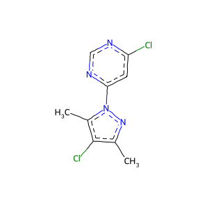 Cc1nn(-c2cc(Cl)ncn2)c(C)c1Cl